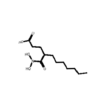 CCCCCCCC(CCC(=O)O)C(=O)N(O)O